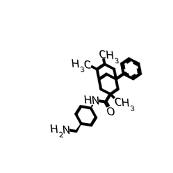 CC1CC2(c3ccccc3)CC(CC(C)(C(=O)N[C@H]3CC[C@H](CN)CC3)C2)C1C